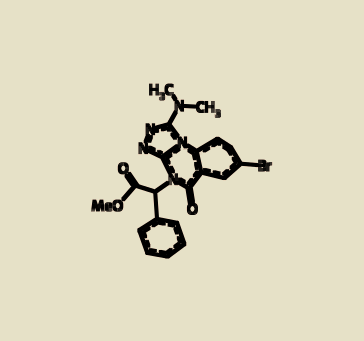 COC(=O)C(c1ccccc1)n1c(=O)c2cc(Br)ccc2n2c(N(C)C)nnc12